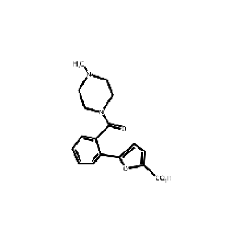 CN1CCN(C(=O)c2ccccc2-c2ccc(C(=O)O)o2)CC1